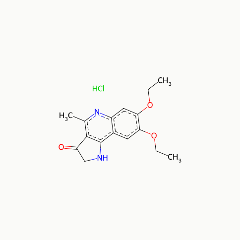 CCOc1cc2nc(C)c3c(c2cc1OCC)NCC3=O.Cl